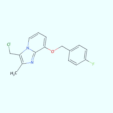 Cc1nc2c(OCc3ccc(F)cc3)cccn2c1CCl